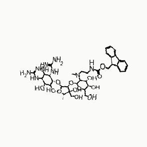 C[C@@H]1O[C@@H](O[C@@H]2C(O)[C@@H](O)C(NC(=N)N)C(O)[C@@H]2NC(=N)N)C(O[C@@H]2OC(CO)[C@H](O)[C@H](O)C2N(C)CCNC(=O)OCC2c3ccccc3-c3ccccc32)[C@]1(O)CO